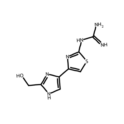 N=C(N)Nc1nc(-c2c[nH]c(CO)n2)cs1